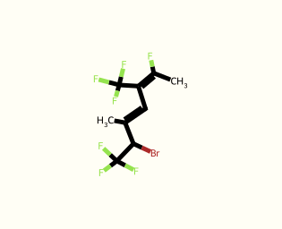 C/C(F)=C(\C=C(/C)C(Br)C(F)(F)F)C(F)(F)F